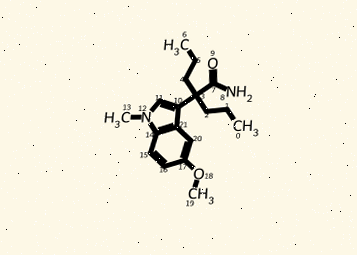 CCCC(CCC)(C(N)=O)c1cn(C)c2ccc(OC)cc12